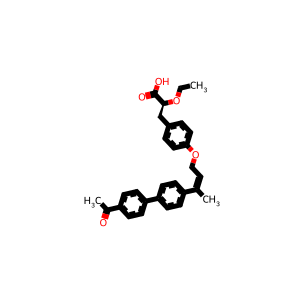 CCO[C@@H](Cc1ccc(OCC=C(C)c2ccc(-c3ccc(C(C)=O)cc3)cc2)cc1)C(=O)O